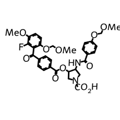 COCOc1ccc(C(=O)NC2CN(C(=O)O)CC2OC(=O)c2ccc(C(=O)c3c(OCOC)ccc(OC)c3F)cc2)cc1